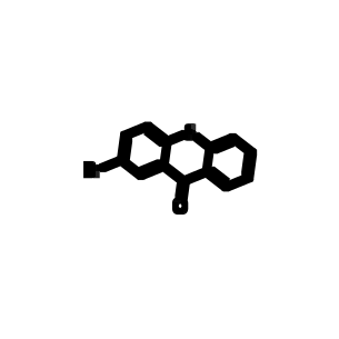 O=c1c2ccccc2sc2ccc(Br)cc12